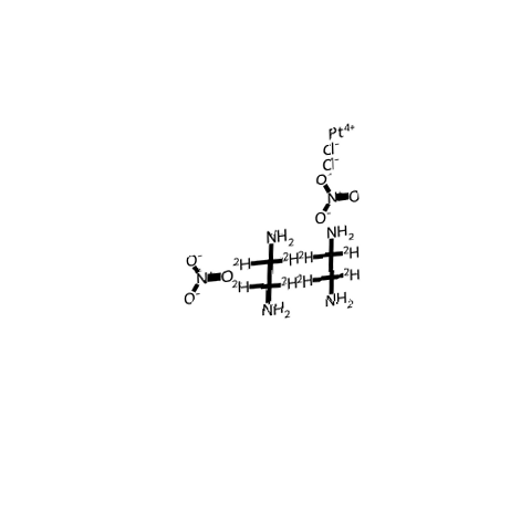 O=[N+]([O-])[O-].O=[N+]([O-])[O-].[2H]C([2H])(N)C([2H])([2H])N.[2H]C([2H])(N)C([2H])([2H])N.[Cl-].[Cl-].[Pt+4]